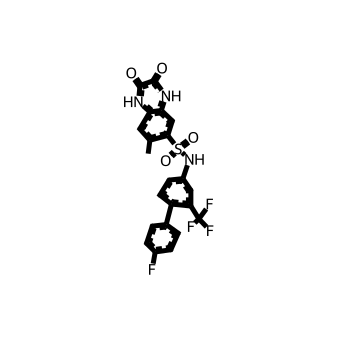 Cc1cc2[nH]c(=O)c(=O)[nH]c2cc1S(=O)(=O)Nc1ccc(-c2ccc(F)cc2)c(C(F)(F)F)c1